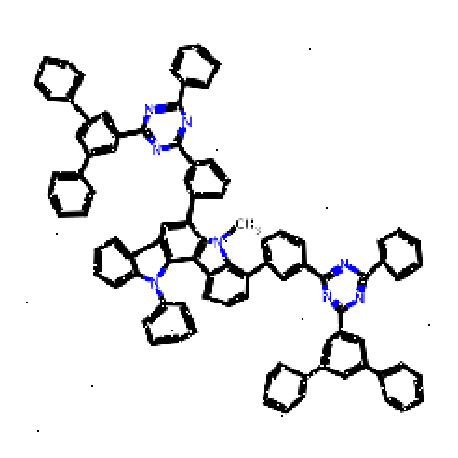 Cn1c2c(-c3cccc(-c4nc(-c5ccccc5)nc(-c5cc(-c6ccccc6)cc(-c6ccccc6)c5)n4)c3)cccc2c2c1c(-c1cccc(-c3nc(-c4ccccc4)nc(-c4cc(-c5ccccc5)cc(-c5ccccc5)c4)n3)c1)cc1c3ccccc3n(-c3ccccc3)c12